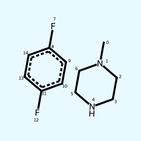 CN1CCNCC1.Fc1ccc(F)cc1